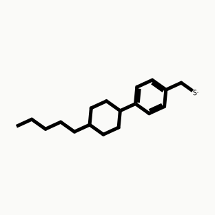 CCCCCC1CCC(c2ccc(C[S])cc2)CC1